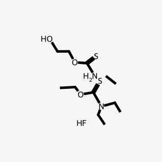 CC.CCOC(=S)N(CC)CC.F.NC(=S)OCCO